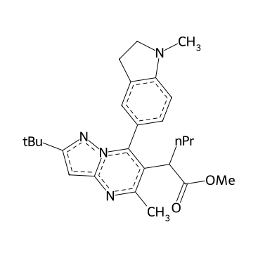 CCCC(C(=O)OC)c1c(C)nc2cc(C(C)(C)C)nn2c1-c1ccc2c(c1)CCN2C